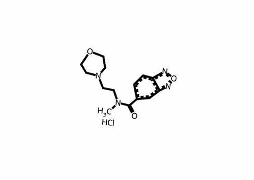 CN(CCN1CCOCC1)C(=O)c1ccc2nonc2c1.Cl